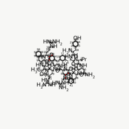 CC(C)[C@H](NC(=O)[C@H](Cc1ccccc1)NC(=O)[C@H](N)Cc1ccc(O)cc1)C(=O)N[C@@H](CC(N)=O)C(=O)N[C@@H](Cc1ccccc1)C(=O)N[C@@H](CCCNC(=N)N)C(=O)N[C@@H](CC(N)=O)C(=O)N[C@@H](Cc1ccccc1)C(=O)N[C@@H](CCCNC(=N)N)C(=O)N[C@H](C(=O)N[C@@H](Cc1ccccc1)C(=O)N[C@@H](CCCNC(=N)N)C(=O)I)[C@@H](C)O